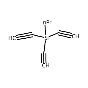 C#C[Si](C#C)(C#C)CCC